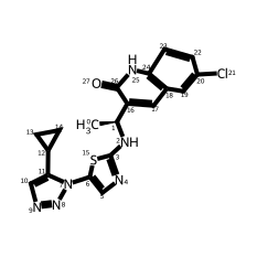 C[C@H](Nc1ncc(-n2nncc2C2CC2)s1)c1cc2cc(Cl)ccc2[nH]c1=O